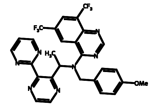 COc1ccc(CN(c2ncnc3c(C(F)(F)F)cc(C(F)(F)F)cc23)C(C)c2nccnc2-c2ncccn2)cc1